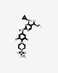 CS(=O)(=O)N1CCN(c2c(F)cc(Nc3ncc(C(N)=O)c(NC4CC4)n3)cc2F)CC1